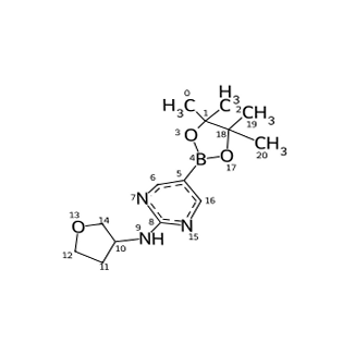 CC1(C)OB(c2cnc(NC3CCOC3)nc2)OC1(C)C